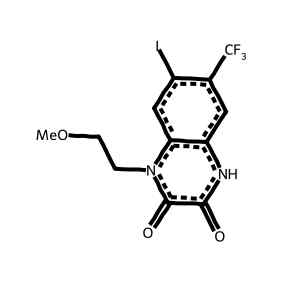 COCCn1c(=O)c(=O)[nH]c2cc(C(F)(F)F)c(I)cc21